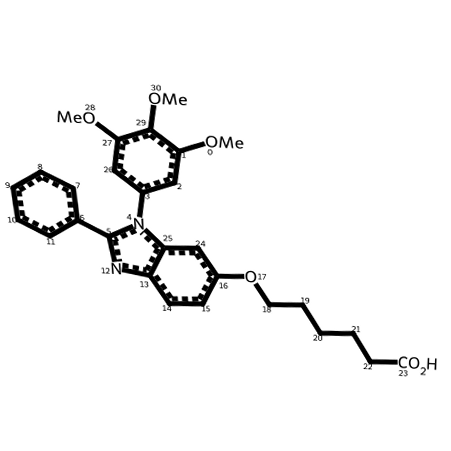 COc1cc(-n2c(-c3ccccc3)nc3ccc(OCCCCCC(=O)O)cc32)cc(OC)c1OC